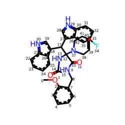 COc1ccccc1CNC(=O)C(NC(C)=O)(C(c1c[nH]c2ccccc12)c1c[nH]c2ccc(F)cc12)N1CC=CCC1